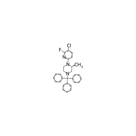 C[C@H]1CN(C(c2ccccc2)(c2ccccc2)c2ccccc2)CCN1c1ccc(Cl)c(F)n1